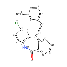 CC(=O)Oc1cccc(C=C=C2c3cc(Cl)ccc3NC(=O)c3ccccc32)c1